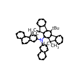 CC(C)(C)c1c2c(c(N(c3ccc4ccccc4c3)c3ccc4c(ccc5ccccc54)c3)c3c1-c1ccccc1C3(C)C)C(C)(C)c1ccccc1-2